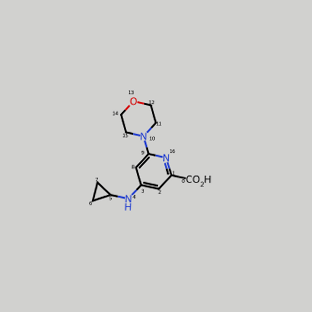 O=C(O)c1cc(NC2CC2)cc(N2CCOCC2)n1